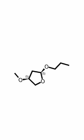 CCCO[C@@H]1C[C@H](OC)CO1